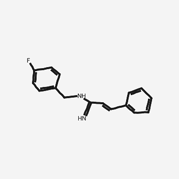 N=C(C=Cc1ccccc1)NCc1ccc(F)cc1